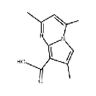 Cc1cc(C)n2cc(C)c(C(=O)O)c2n1